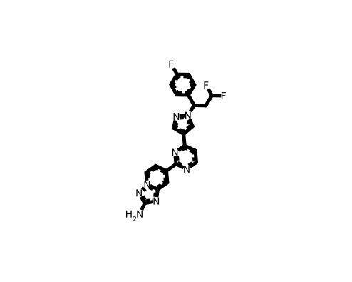 Nc1nc2cc(-c3nccc(-c4cnn(C(CC(F)F)c5ccc(F)cc5)c4)n3)ccn2n1